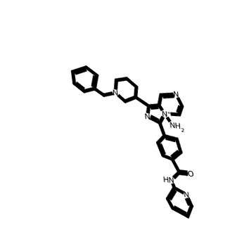 N[N+]12C=CN=CC1=C(C1CCCN(Cc3ccccc3)C1)N=C2c1ccc(C(=O)Nc2ccccn2)cc1